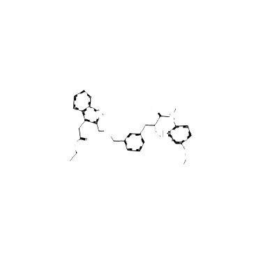 CCOC(=O)Cc1c(CSCc2cccc(C[C@H](N)C(=O)N(C)c3ccc(OC)cc3)c2)[nH]c2ccccc12